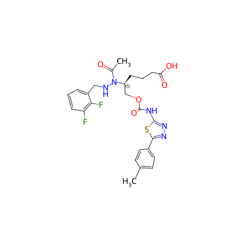 CC(=O)N(NCc1cccc(F)c1F)[C@@H](CCCC(=O)O)COC(=O)Nc1nnc(-c2ccc(C)cc2)s1